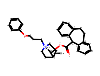 O=C(O[C@H]1C[N+]2(CCCOc3ccccc3)CCC1CC2)C1c2ccccc2CCc2ccccc21